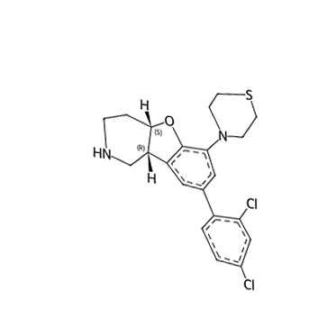 Clc1ccc(-c2cc3c(c(N4CCSCC4)c2)O[C@H]2CCNC[C@@H]32)c(Cl)c1